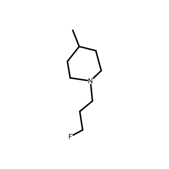 CC1CCN(CCCF)CC1